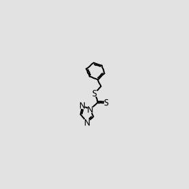 S=C(SCc1ccccc1)n1cncn1